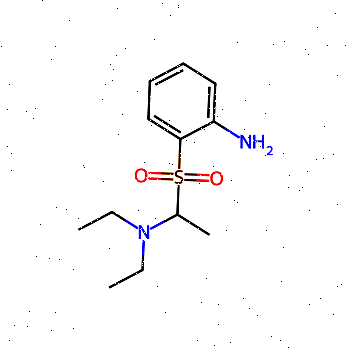 CCN(CC)C(C)S(=O)(=O)c1ccccc1N